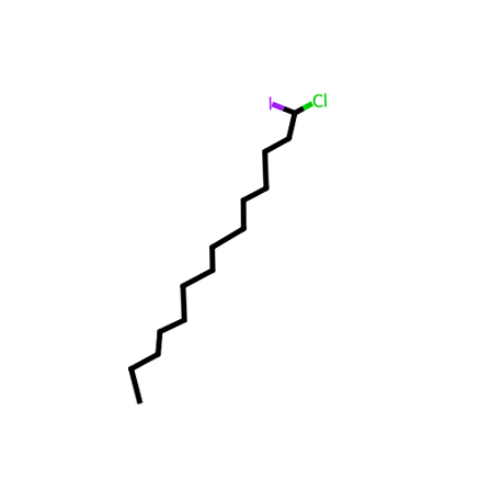 CCCCCCCCCCCCCC(Cl)I